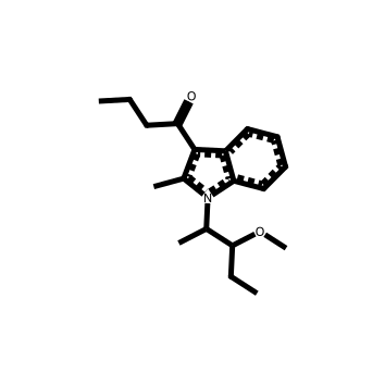 CCCC(=O)c1c(C)n(C(C)C(CC)OC)c2ccccc12